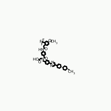 CC[C@H]1CC[C@H](C2CC=C(c3cnc(-c4ccc(CN(CC(=O)O)C(=O)c5ccc(NC(=O)Cc6ccc(OC)cc6C(F)(F)F)cc5)cc4)nc3)CC2)CC1